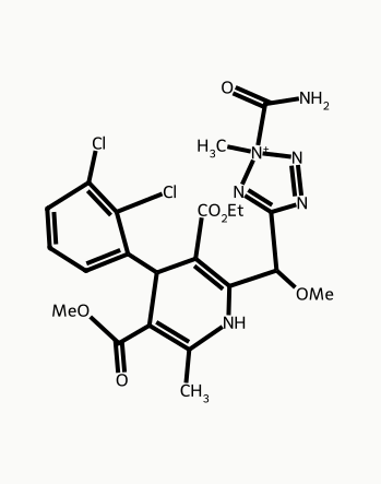 CCOC(=O)C1=C(C(OC)C2=N[N+](C)(C(N)=O)N=N2)NC(C)=C(C(=O)OC)C1c1cccc(Cl)c1Cl